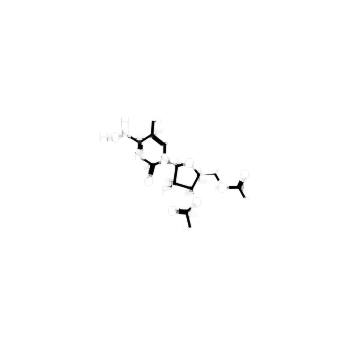 CC(=O)OC[C@@H]1O[C@H](n2cc(C)c(NO)nc2=O)[C@H](F)[C@H]1OC(C)=O